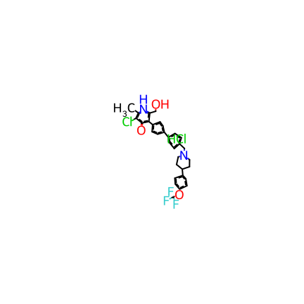 Cc1[nH]c(CO)c(-c2ccc(-c3ccc(CN4CCC(c5ccc(OC(F)(F)F)cc5)CC4)cc3)cc2)c(=O)c1Cl.Cl